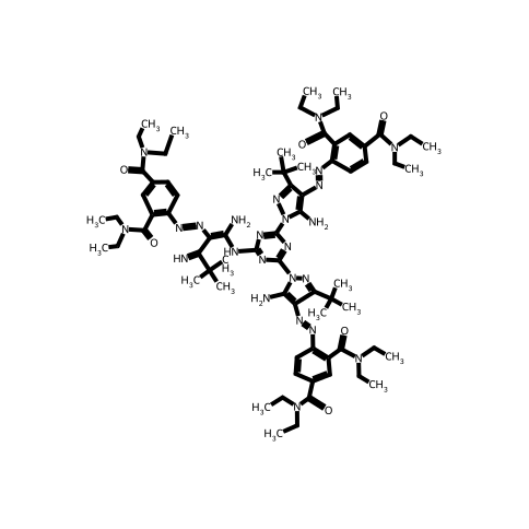 CCN(CC)C(=O)c1ccc(/N=N/C(C(=N)C(C)(C)C)=C(\N)Nc2nc(-n3nc(C(C)(C)C)c(/N=N/c4ccc(C(=O)N(CC)CC)cc4C(=O)N(CC)CC)c3N)nc(-n3nc(C(C)(C)C)c(/N=N/c4ccc(C(=O)N(CC)CC)cc4C(=O)N(CC)CC)c3N)n2)c(C(=O)N(CC)CC)c1